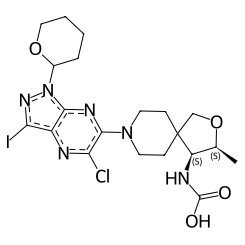 C[C@@H]1OCC2(CCN(c3nc4c(nc3Cl)c(I)nn4C3CCCCO3)CC2)[C@@H]1NC(=O)O